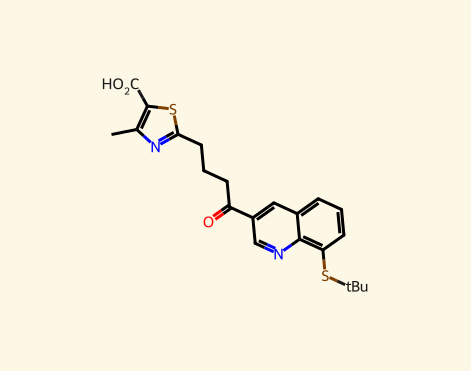 Cc1nc(CCCC(=O)c2cnc3c(SC(C)(C)C)cccc3c2)sc1C(=O)O